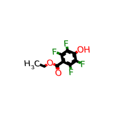 CCOC(=O)c1c(F)c(F)c(O)c(F)c1F